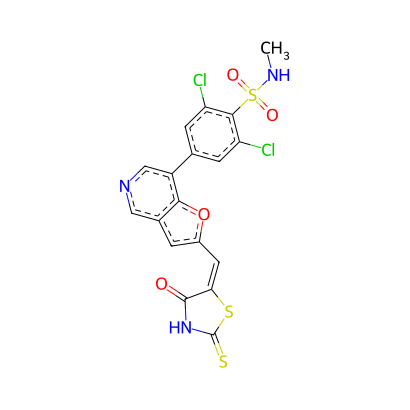 CNS(=O)(=O)c1c(Cl)cc(-c2cncc3cc(/C=C4/SC(=S)NC4=O)oc23)cc1Cl